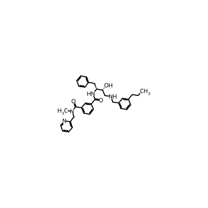 CCCc1cccc(CNC[C@@H](O)[C@H](Cc2ccccc2)NC(=O)c2cccc(C(=O)N(C)Cc3ccccn3)c2)c1